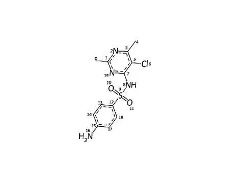 Cc1nc(C)c(Cl)c(NS(=O)(=O)c2ccc(N)cc2)n1